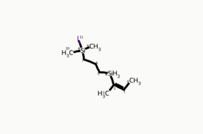 CC=C(C)[SiH2]CCC[Si](C)(C)I